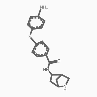 Nc1ccc(Sc2ccc(C(=O)NC3CC4CC3CN4)cc2)cc1